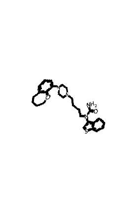 NC(=O)N(CCCCN1CCN(c2cccc3c2OCCCC3)CC1)c1csc2ccccc12